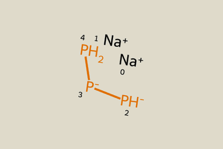 [Na+].[Na+].[PH-][P-]P